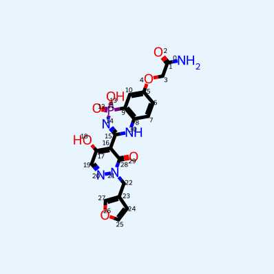 NC(=O)COc1ccc2c(c1)P(=O)(O)N=C(c1c(O)cnn(Cc3ccoc3)c1=O)N2